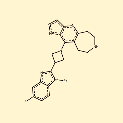 CCn1c(C2CN(c3c4c(nc5ccnn35)CCNCC4)C2)nc2cc(F)ccc21